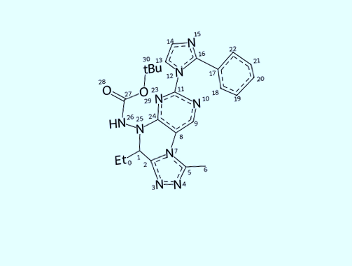 CCC1c2nnc(C)n2-c2cnc(-n3ccnc3-c3ccccc3)nc2N1NC(=O)OC(C)(C)C